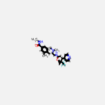 CNC(=O)c1ccc(C[C@@H](CNC(=O)C[C@@H](c2ccncc2)C2(C(F)(F)F)CC2)N(C)C)c(C)c1